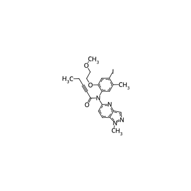 CCC#CC(=O)N(c1ccc2c(cnn2C)n1)c1cc(C)c(I)cc1OCCOC